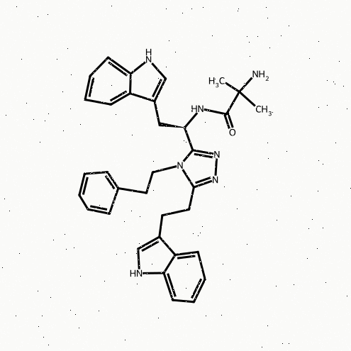 CC(C)(N)C(=O)N[C@H](Cc1c[nH]c2ccccc12)c1nnc(CCc2c[nH]c3ccccc23)n1CCc1ccccc1